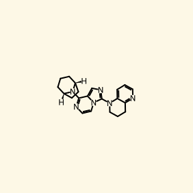 c1cnc2c(c1)N(c1ncc3c(N4[C@@H]5CCC[C@H]4CC5)nccn13)CCC2